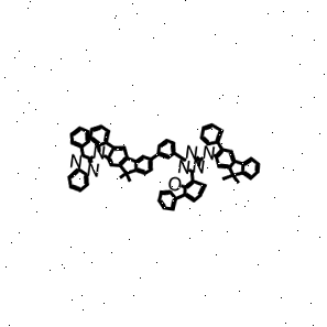 CC1(C)c2ccccc2-c2cc3c4ccccc4n(-c4nc(-c5cccc(-c6ccc7c(c6)-c6cc8c9ccccc9n(-c9nc%10ccccc%10nc9-c9ccccc9)c8cc6C7(C)C)c5)nc(-c5cccc6c5oc5ccccc56)n4)c3cc21